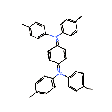 Cc1ccc([N+](=C2C=CC(=[N+](c3ccc(C)cc3)c3ccc(C)cc3)C=C2)c2ccc(C)cc2)cc1